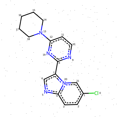 Clc1ccc2ncc(-c3nccc(N4CCCCC4)n3)n2c1